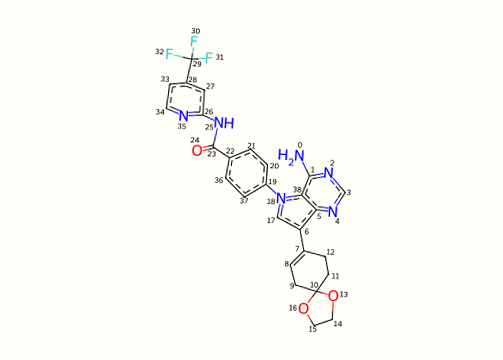 Nc1ncnc2c(C3=CCC4(CC3)OCCO4)cn(-c3ccc(C(=O)Nc4cc(C(F)(F)F)ccn4)cc3)c12